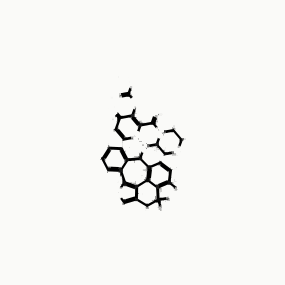 COC(=O)Oc1c2n(ccc1=O)N(C1c3ccccc3-c3scc4c3-c3c1ccc(F)c3C(F)(F)C4)C1COCCN1C2=O